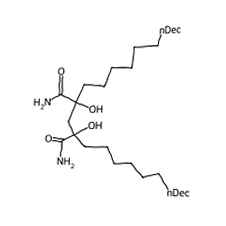 CCCCCCCCCCCCCCCCC(O)(CC(O)(CCCCCCCCCCCCCCCC)C(N)=O)C(N)=O